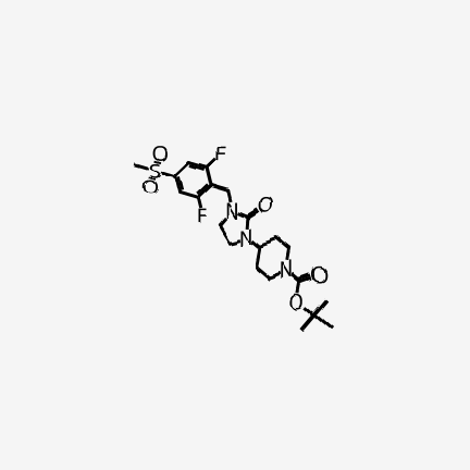 CC(C)(C)OC(=O)N1CCC(N2CCN(Cc3c(F)cc(S(C)(=O)=O)cc3F)C2=O)CC1